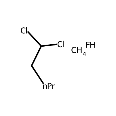 C.CCCCC(Cl)Cl.F